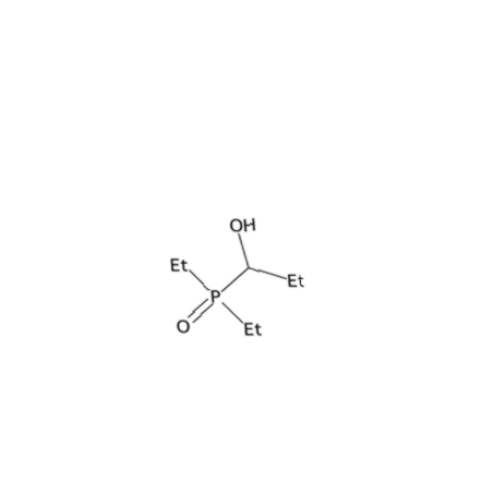 CCC(O)P(=O)(CC)CC